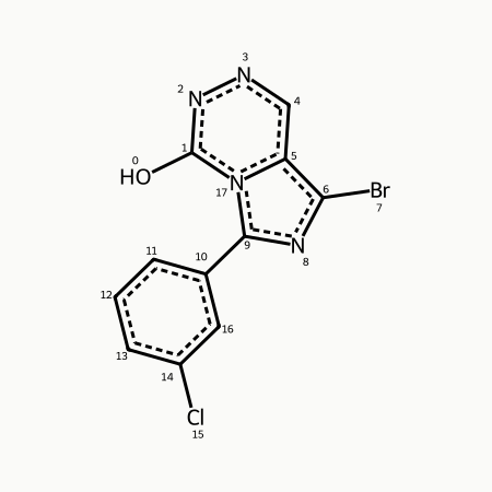 Oc1nncc2c(Br)nc(-c3cccc(Cl)c3)n12